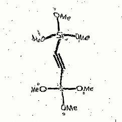 CO[Si](C#C[Si](OC)(OC)OC)(OC)OC